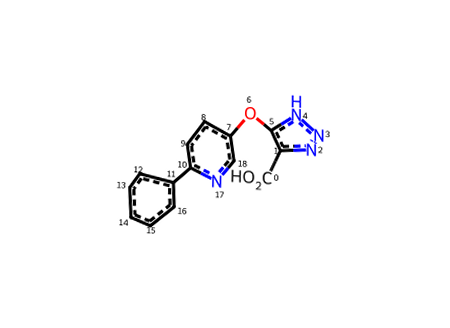 O=C(O)c1nn[nH]c1Oc1ccc(-c2ccccc2)nc1